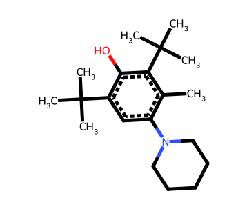 Cc1c(N2CCCCC2)cc(C(C)(C)C)c(O)c1C(C)(C)C